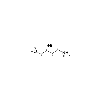 NCCCCO.[Ni]